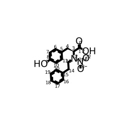 O=C(O)[C@H](Cc1ccc(O)cc1)N(CCc1ccccc1)[N+](=O)[O-]